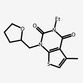 CCn1c(=O)c2c(C)csc2n(CC2CCCO2)c1=O